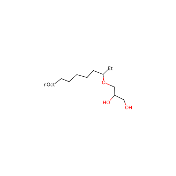 CCCCCCCCCCCCCC(CC)OCC(O)CO